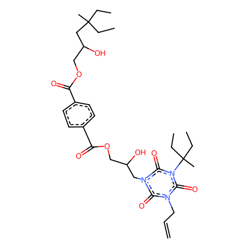 C=CCn1c(=O)n(CC(O)COC(=O)c2ccc(C(=O)OCC(O)CC(C)(CC)CC)cc2)c(=O)n(C(C)(CC)CC)c1=O